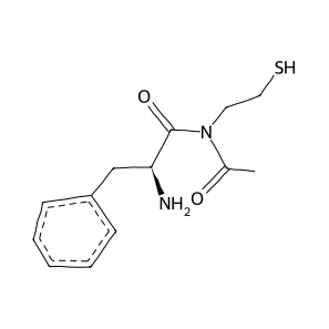 CC(=O)N(CCS)C(=O)[C@@H](N)Cc1ccccc1